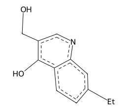 CCc1ccc2c(O)c(CO)cnc2c1